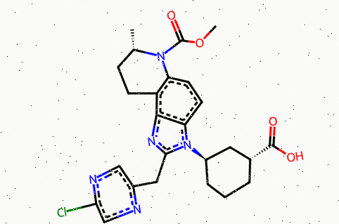 COC(=O)N1c2ccc3c(nc(Cc4cnc(Cl)cn4)n3[C@@H]3CCC[C@@H](C(=O)O)C3)c2CC[C@@H]1C